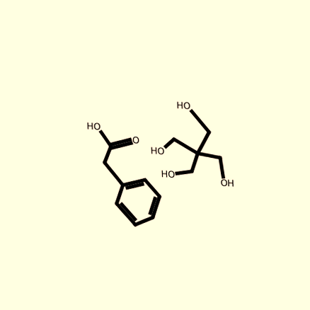 O=C(O)Cc1ccccc1.OCC(CO)(CO)CO